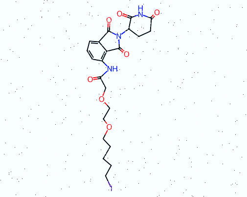 O=C1CCC(N2C(=O)c3cccc(NC(=O)COCCOCCCCCI)c3C2=O)C(=O)N1